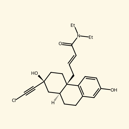 CCN(CC)C(=O)/C=C/C[C@]12CC[C@@](O)(C#CCl)C[C@@H]1CCc1cc(O)ccc12